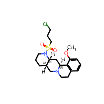 COc1cccc2c1[C@@H]1C[C@@H]3[C@@H](CCCN3S(=O)(=O)CCCCl)CN1CC2